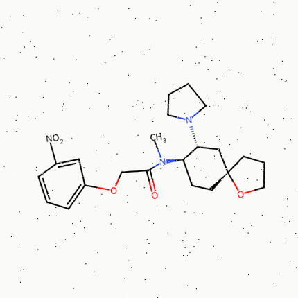 CN(C(=O)COc1cccc([N+](=O)[O-])c1)[C@@H]1CC[C@]2(CCCO2)C[C@H]1N1CCCC1